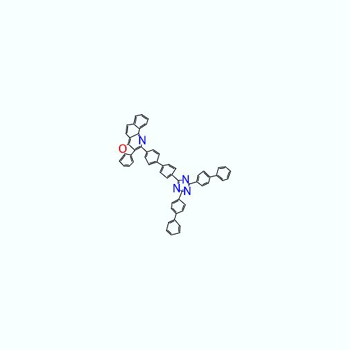 c1ccc(-c2ccc(-c3nc(-c4ccc(-c5ccccc5)cc4)nc(-c4ccc(-c5ccc(-c6nc7c8ccccc8ccc7c7oc8ccccc8c67)cc5)cc4)n3)cc2)cc1